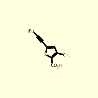 Cc1cc(C#CC(C)(C)C)sc1C(=O)O